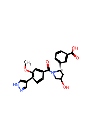 COc1cc(C(=O)N2CC(O)C[C@@H]2c2cccc(C(=O)O)c2)ccc1-c1cn[nH]c1